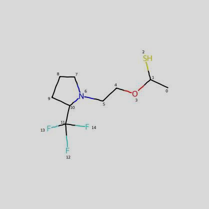 CC(S)OCCN1CCCC1C(F)(F)F